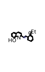 CCOc1ccccc1/C=C/c1ccc2cccc(O)c2n1